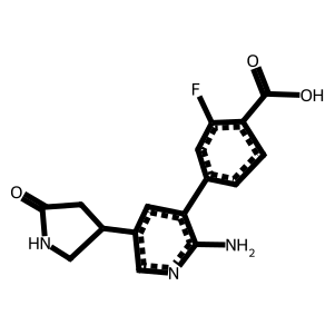 Nc1ncc(C2CNC(=O)C2)cc1-c1ccc(C(=O)O)c(F)c1